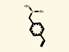 C=Cc1ccc(C[S+](CCCC)CCCC)cc1